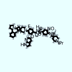 CC(C)c1ccccc1C1CCCN1C1CC2(CCN(c3cc(Oc4cnc5[nH]ccc5c4)c(C(=O)NS(=O)(=O)c4ccc(NCC5(F)CCN(C(C)C)CC5)c([N+](=O)[O-])c4)cc3F)CC2)C1